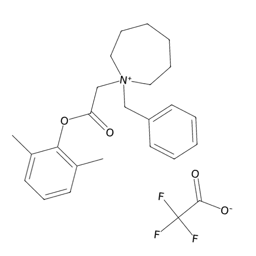 Cc1cccc(C)c1OC(=O)C[N+]1(Cc2ccccc2)CCCCCC1.O=C([O-])C(F)(F)F